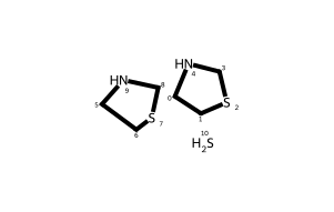 C1CSCN1.C1CSCN1.S